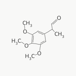 COc1cc(C(C)C=O)cc(OC)c1OC